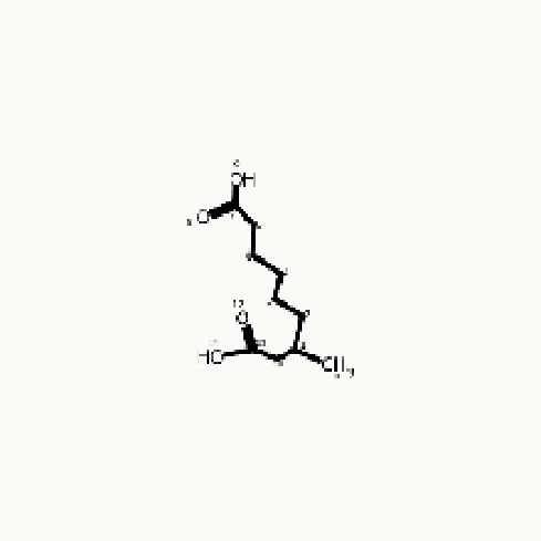 CC(CCCCCC(=O)O)CC(=O)O